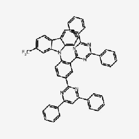 FC(F)(F)c1ccc2c3ccccc3n(-c3ccc(-c4nc(-c5ccccc5)cc(-c5ccccc5)n4)cc3-c3nc(-c4ccccc4)nc(-c4ccccc4)n3)c2c1